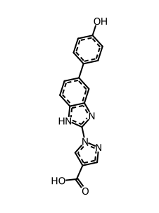 O=C(O)c1cnn(-c2nc3cc(-c4ccc(O)cc4)ccc3[nH]2)c1